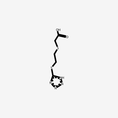 O=C(O)CSCCSc1nnn[nH]1